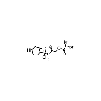 CC(C)(OC(=O)COC(=O)C(Br)Br)C1CCNCC1